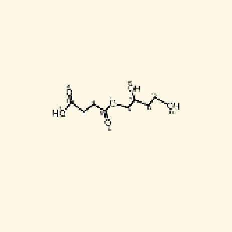 O=C(O)CCC(=O)OCC(O)CCO